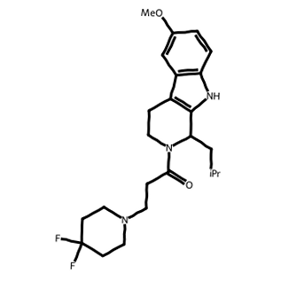 COc1ccc2[nH]c3c(c2c1)CCN(C(=O)CCN1CCC(F)(F)CC1)C3CC(C)C